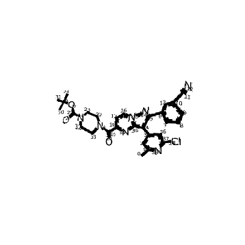 Cc1cc(-c2c(-c3cccc(C#N)c3)nn3ccc(C(=O)N4CCN(C(=O)OC(C)(C)C)CC4)nc23)cc(Cl)n1